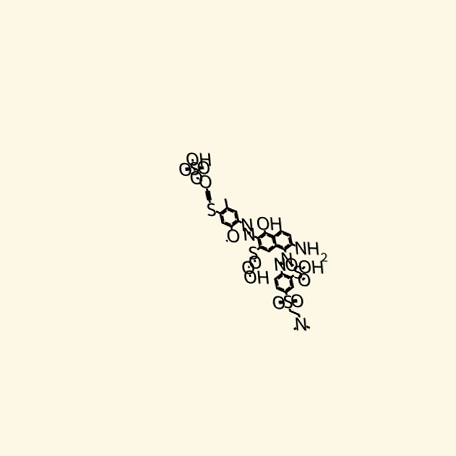 COc1cc(SC#COOS(=O)(=O)O)c(C)cc1N=Nc1c(SOOO)cc2c(N=Nc3ccc(S(=O)(=O)CCN(C)C)cc3S(=O)(=O)O)c(N)ccc2c1O